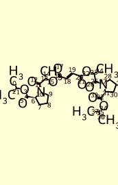 CC(C)OC(=O)[C@@H]1CCCN1C(=O)[C@H](C)OC(=O)/C=C/C(=O)O[C@@H](C)C(=O)N1CCC[C@H]1C(=O)OC(C)C